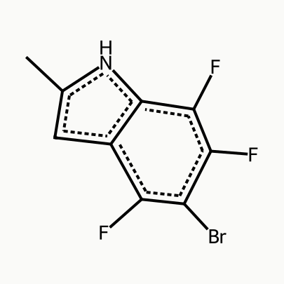 Cc1cc2c(F)c(Br)c(F)c(F)c2[nH]1